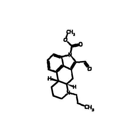 CCCN1CCC[C@@H]2c3cccc4c3c(c(C=O)n4C(=O)OC)C[C@H]21